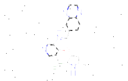 C[C@@H]1C[C@@H](Oc2c(NCc3ccc4nccnc4c3)cncc2C(F)F)CN1